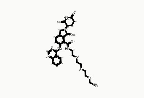 NCOCCOCCOCCNC(=O)c1c(Nc2ncnc3ccccc23)ccc2c1C(=O)N(C1CCC(=O)NC1=O)C2